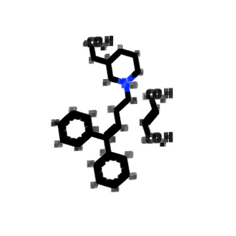 O=C(O)C=CC(=O)O.O=C(O)CC1CCCN(CCC=C(c2ccccc2)c2ccccc2)C1